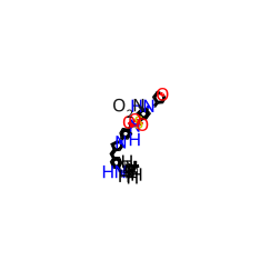 C[C@@H]1[C@@H](Nc2ccc(C=C3CCN(c4ccc(C(=O)NS(=O)(=O)c5ccc(NCC6CCOCC6)c([N+](=O)[O-])c5)cc4)CC3)cc2)C[C@H]2C[C@@H]1C2(C)C